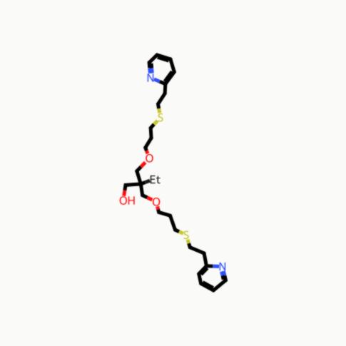 CCC(CO)(COCCCSCCc1ccccn1)COCCCSCCc1ccccn1